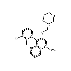 COc1cc(OC[C@@H]2COCCO2)c(-c2cccc(Cl)c2C)c2ncncc12